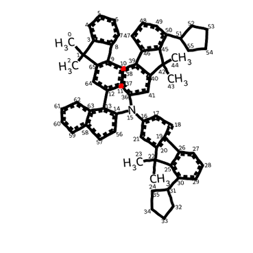 CC1(C)c2ccccc2-c2ccc(-c3c(N(c4ccc5c(c4)C(C)(C)c4c-5cccc4C4CCCC4)c4ccc5c(c4)C(C)(C)c4c-5cccc4C4CCCC4)ccc4ccccc34)cc21